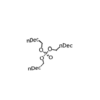 CCCCCCCCCCCOP(=O)(OCCCCCCCCCCC)OCCCCCCCCCCC